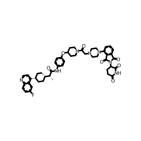 C[C@@H](C(=O)Nc1ccc(OC2CCN(C(=O)CN3CCN(c4cccc5c4C(=O)N(C4CCC(=O)NC4=O)C5=O)CC3)CC2)cc1)[C@H]1CC[C@@H](c2ccnc3ccc(F)cc32)CC1